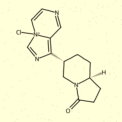 O=C1CC[C@@H]2CC[C@@H](C3=C4C=NC=C[N+]4(Cl)C=N3)CN12